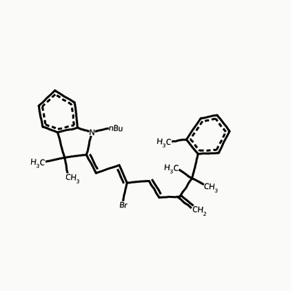 C=C(/C=C/C(Br)=C/C=C1\N(CCCC)c2ccccc2C1(C)C)C(C)(C)c1ccccc1C